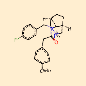 CC(C)COc1ccc(CC(=O)N(Cc2ccc(F)cc2)[C@H]2[C@@H]3CC[C@H]2CN(C)C3)cc1